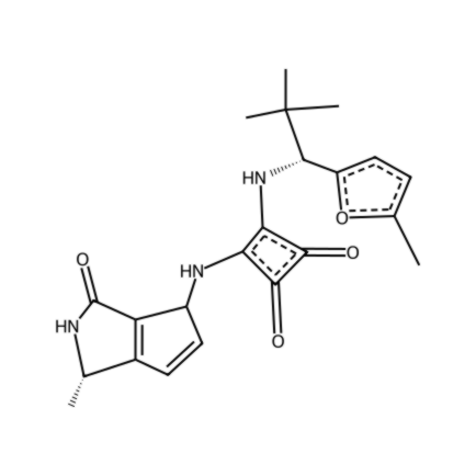 Cc1ccc([C@H](Nc2c(NC3C=CC4=C3C(=O)N[C@H]4C)c(=O)c2=O)C(C)(C)C)o1